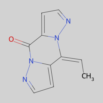 CC=c1c2ccnn2c(=O)c2ccnn12